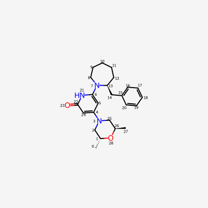 C[C@@H]1CN(c2cc(N3CCCCC[C@H]3Cc3ccccc3)[nH]c(=O)c2)C[C@@H](C)O1